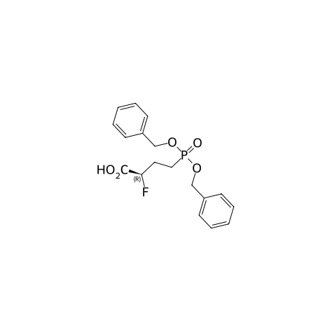 O=C(O)[C@H](F)CCP(=O)(OCc1ccccc1)OCc1ccccc1